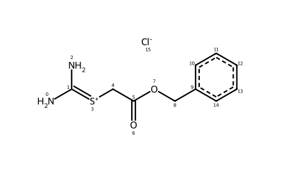 NC(N)=[S+]CC(=O)OCc1ccccc1.[Cl-]